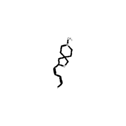 CN1CCC2(CC1)COC(/C=C\C=C/I)C2